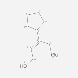 CC(C)(C)C/C(=N\CO)C1CCCC1